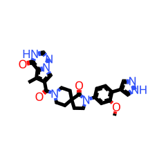 COc1cc(N2CCC3(CCN(C(=O)c4cn5nc[nH]c(=O)c5c4C)CC3)C2=O)ccc1-c1cn[nH]c1